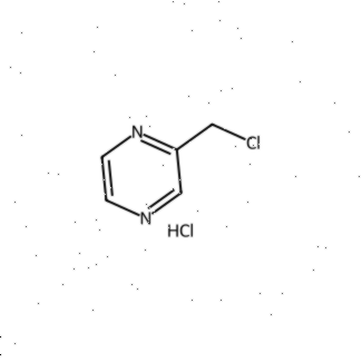 Cl.ClCc1cnccn1